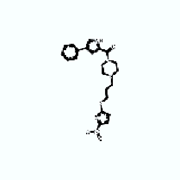 O=C(c1cc(-c2ccccc2)c[nH]1)N1CCN(CCCSc2ccc([N+](=O)[O-])s2)CC1